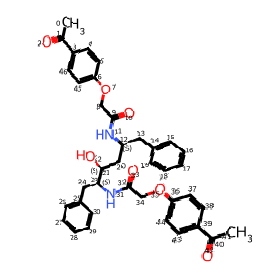 CC(=O)c1ccc(OCC(=O)N[C@@H](Cc2ccccc2)C[C@H](O)[C@H](Cc2ccccc2)NC(=O)COc2ccc(C(C)=O)cc2)cc1